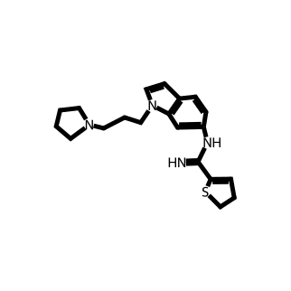 N=C(Nc1ccc2ccn(CCCN3CCCC3)c2c1)C1=CCCS1